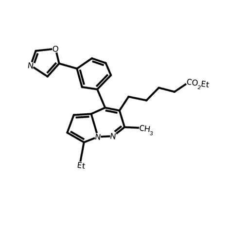 CCOC(=O)CCCCc1c(C)nn2c(CC)ccc2c1-c1cccc(-c2cnco2)c1